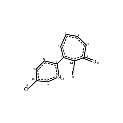 O=c1ccccc(-c2ccc(Cl)cn2)c1F